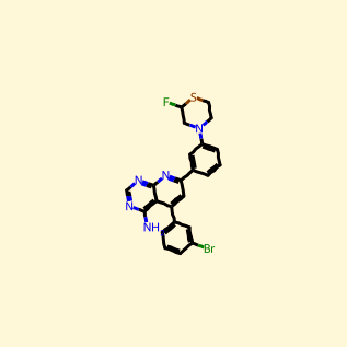 Nc1ncnc2nc(-c3cccc(N4CCSC(F)C4)c3)cc(-c3cccc(Br)c3)c12